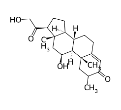 CC1C[C@@]2(C)C(=CC1=O)CC[C@@H]1[C@@H]2[C@@H](O)C[C@]2(C)[C@@H](C(=O)CO)CC[C@@H]12